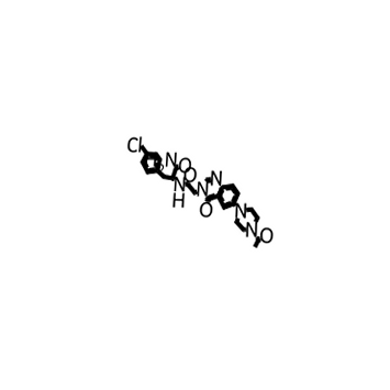 CC(=O)N1CCN(c2ccc3ncn(CC(=O)NC(Cc4ccc(Cl)cc4)C(N)=O)c(=O)c3c2)CC1